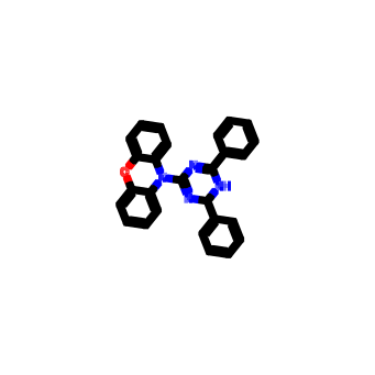 c1ccc(C2=NC(N3c4ccccc4Oc4ccccc43)=NC(c3ccccc3)N2)cc1